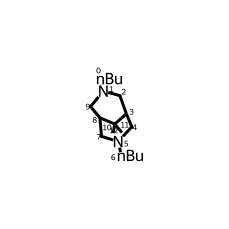 CCCCN1CC2CN(CCCC)CC(C1)C2(C)C